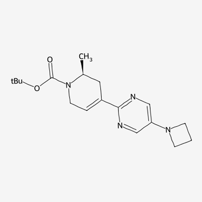 C[C@H]1CC(c2ncc(N3CCC3)cn2)=CCN1C(=O)OC(C)(C)C